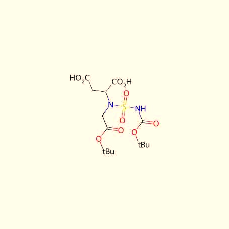 CC(C)(C)OC(=O)CN(C(CC(=O)O)C(=O)O)S(=O)(=O)NC(=O)OC(C)(C)C